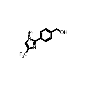 CC(C)n1cc(C(F)(F)F)nc1-c1ccc(CO)cc1